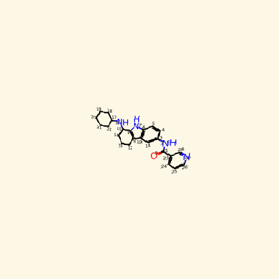 O=C(Nc1ccc2[nH]c3c(c2c1)CCCC3NC1CCCCC1)c1cccnc1